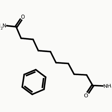 NC(=O)CCCCCCCCC(N)=O.c1ccccc1